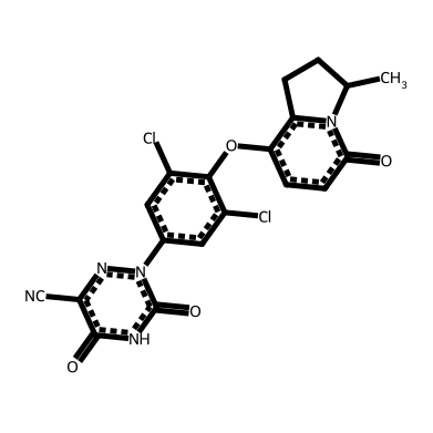 CC1CCc2c(Oc3c(Cl)cc(-n4nc(C#N)c(=O)[nH]c4=O)cc3Cl)ccc(=O)n21